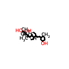 C=C1CC[C@H](O)C/C1=C\C=C1/CCC[C@]2(C)[C@@H]([C@H](C)CC[C@@H](O)C(C)(C)O)CC[C@@H]12